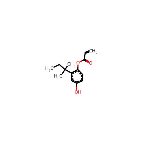 C=CC(=O)Oc1ccc(O)cc1C(C)(C)CC